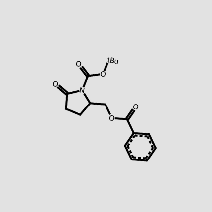 CC(C)(C)OC(=O)N1C(=O)CCC1COC(=O)c1ccccc1